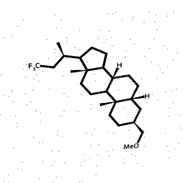 COC[C@H]1CC[C@]2(C)C3CC[C@@]4(C)C(CCC4[C@H](C)CC(F)(F)F)[C@@H]3CC[C@@H]2C1